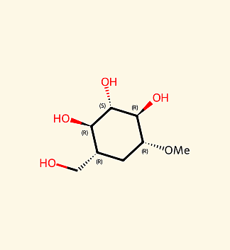 CO[C@@H]1C[C@H](CO)[C@@H](O)[C@H](O)[C@H]1O